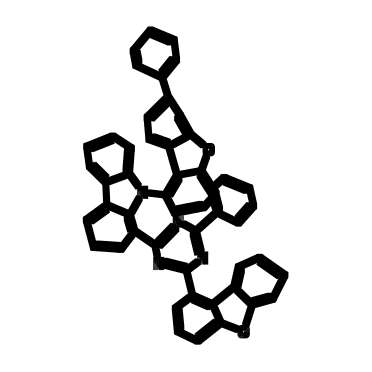 c1ccc(-c2ccc3c(c2)oc2cccc(-n4c5ccccc5c5cccc(-c6nc(-c7ccccc7)nc(-c7cccc8oc9ccccc9c78)n6)c54)c23)cc1